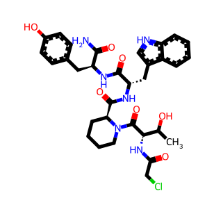 CC(O)[C@H](NC(=O)CCl)C(=O)N1CCCC[C@H]1C(=O)N[C@@H](Cc1c[nH]c2ccccc12)C(=O)N[C@@H](Cc1ccc(O)cc1)C(N)=O